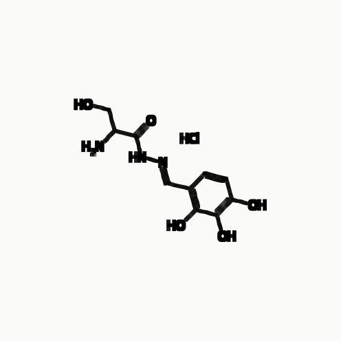 Cl.NC(CO)C(=O)N/N=C/c1ccc(O)c(O)c1O